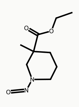 CCOC(=O)C1(C)CCCN(N=O)C1